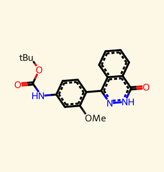 COc1cc(NC(=O)OC(C)(C)C)ccc1-c1n[nH]c(=O)c2ccccc12